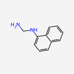 NCNc1cccc2ccccc12